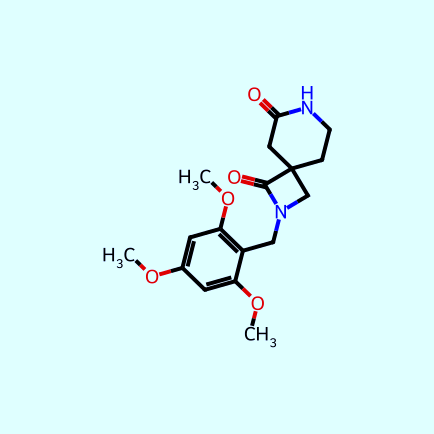 COc1cc(OC)c(CN2CC3(CCNC(=O)C3)C2=O)c(OC)c1